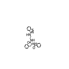 O=C(NC(Cc1ccccc1)C(=O)NCCNc1nsc2ccccc12)c1ccccc1